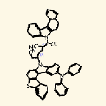 CC/C(=C(C#N)\C=C(/CC#N)n1c2ccc(N(c3ccccc3)c3ccccc3)cc2c2c3c(ccc21)sc1ccccc13)n1c2c(c3ccccc31)C1C=CC=CC1C=C2